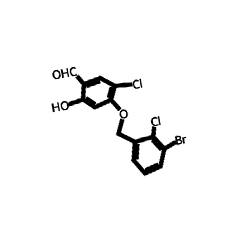 O=Cc1cc(Cl)c(OCc2cccc(Br)c2Cl)cc1O